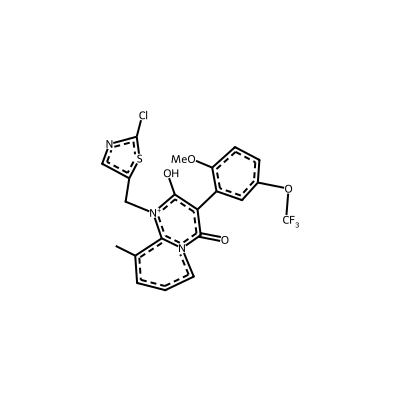 COc1ccc(OC(F)(F)F)cc1-c1c(O)[n+](Cc2cnc(Cl)s2)c2c(C)cccn2c1=O